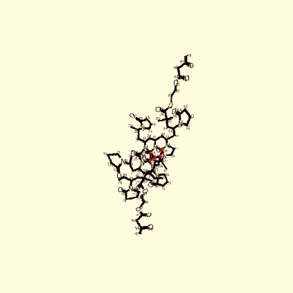 CCC(CC(CC(C)N1CCCC1=O)N1CCN(C(CC(C)N2CCCC2=O)CC(CC(CC(CC(C)(C)C(=O)OCCOC(=O)CC(C)=O)N2CCCC2=O)N2CCN(C(C)CC(CC(C)(CC(CC)N3CCCC3=O)C(=O)OCCOC(=O)CC(C)=O)N3CCCC3=O)C2=O)N2CCCC2=O)C1=O)N1CCCC1=O